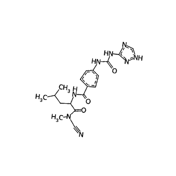 CC(C)CC(NC(=O)c1ccc(NC(=O)Nc2nc[nH]n2)cc1)C(=O)N(C)C#N